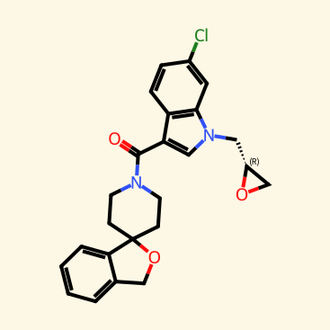 O=C(c1cn(C[C@@H]2CO2)c2cc(Cl)ccc12)N1CCC2(CC1)OCc1ccccc12